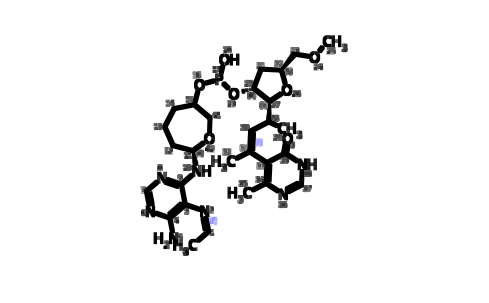 C/C=N\c1c(N)ncnc1N[C@H]1CCCC(OP(O)O[C@@H]2C[C@@H](COC)O[C@H]2C(C)/C=C(/C)c2c(C)nc[nH]c2=O)CO1